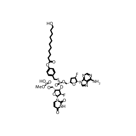 COP(=O)(O)OC[C@H]1O[C@@H](n2ccc(=O)[nH]c2=O)[C@H](F)[C@@H]1OP(=O)(OC[C@@H]1C[C@@H](F)[C@H](n2cnc3c(N)ncnc32)O1)SCc1ccc(OC(=O)CCCCCCCCCCO)cc1